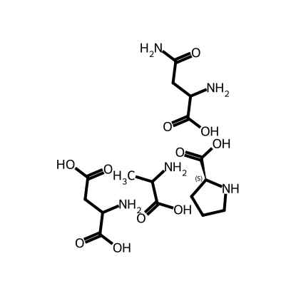 CC(N)C(=O)O.NC(=O)CC(N)C(=O)O.NC(CC(=O)O)C(=O)O.O=C(O)[C@@H]1CCCN1